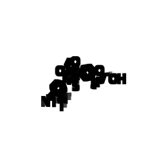 CN1C[C@@H](CO)Oc2ccc(N3C(=S)N(c4ccc(C#N)c(C(F)(F)F)c4)C(=O)[C@@]34CCOC4)cc21